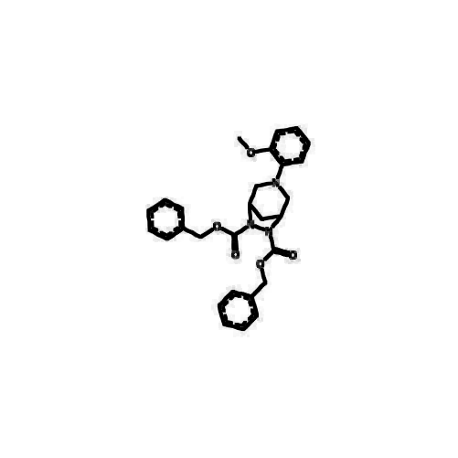 COc1ccccc1N1CC2CC(C1)N(C(=O)OCc1ccccc1)N2C(=O)OCc1ccccc1